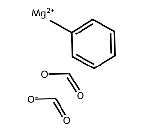 Cc1ccccc1.O=C[O-].O=C[O-].[Mg+2]